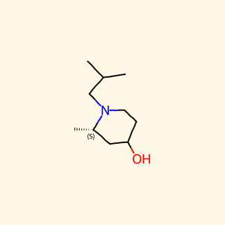 CC(C)CN1CCC(O)C[C@@H]1C